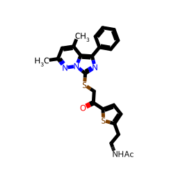 CC(=O)NCCc1ccc(C(=O)CSc2nc(-c3ccccc3)c3c(C)cc(C)nn23)s1